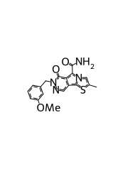 COc1cccc(Cn2ncc3c(c(C(N)=O)n4cc(C)sc34)c2=O)c1